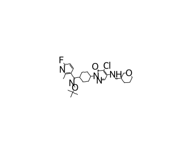 Cc1nc(F)ccc1/C(=N/OC(C)(C)C)C1CCC(n2ncc(NC[C@@H]3CCCOC3)c(Cl)c2=O)CC1